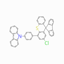 Clc1cc(-c2ccc(-n3c4ccccc4c4ccccc43)cc2)c2c(c1)C1(c3ccccc3S2)c2ccccc2-c2ccccc21